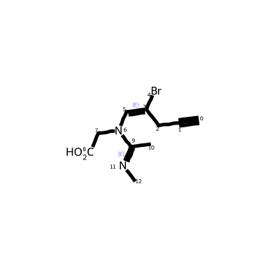 C#CC/C(Br)=C\N(CC(=O)O)/C(C)=N/C